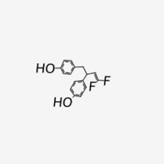 Oc1ccc(CC(C=C(F)F)c2ccc(O)cc2)cc1